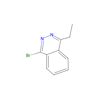 CCc1nnc(Br)c2ccccc12